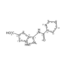 O=C(Nc1n[nH]c2sc(C(=O)O)cc12)c1ccccn1